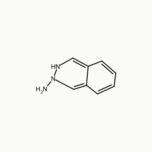 NN1C=c2ccccc2=CN1